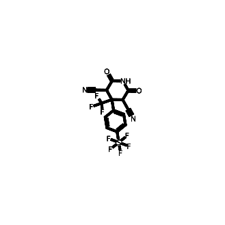 N#CC1C(=O)NC(=O)C(C#N)C1(c1ccc(S(F)(F)(F)(F)F)cc1)C(F)(F)F